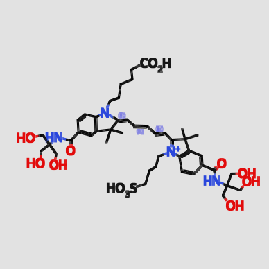 CC1(C)C(/C=C/C=C/C=C2/N(CCCCCC(=O)O)c3ccc(C(=O)NC(CO)(CO)CO)cc3C2(C)C)=[N+](CCCCS(=O)(=O)O)c2ccc(C(=O)NC(CO)(CO)CO)cc21